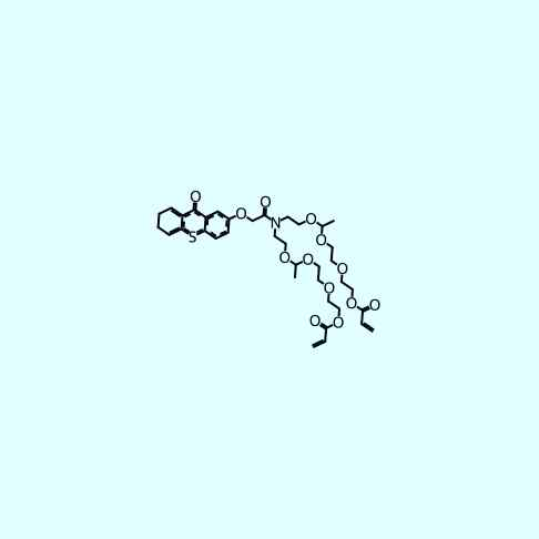 C=CC(=O)OCCOCCOC(C)OCCN(CCOC(C)OCCOCCOC(=O)C=C)C(=O)COc1ccc2sc3c(c(=O)c2c1)=CCCC=3